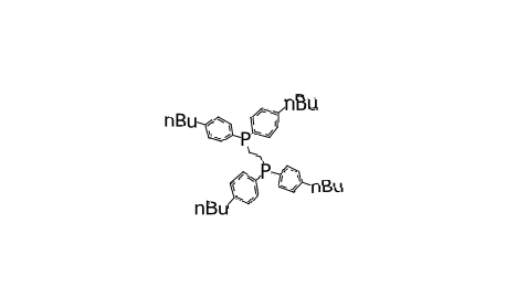 CCCCc1ccc(P(CCP(c2ccc(CCCC)cc2)c2ccc(CCCC)cc2)c2ccc(CCCC)cc2)cc1